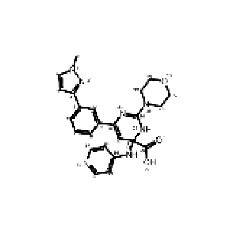 Cn1ccc(-c2cccc(C3=CC(Nc4ccncc4)(C(=O)O)NC(N4CCOCC4)=N3)c2)n1